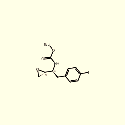 CC(C)(C)OC(=O)N[C@@H](Cc1ccc(I)cc1)[C@@H]1CO1